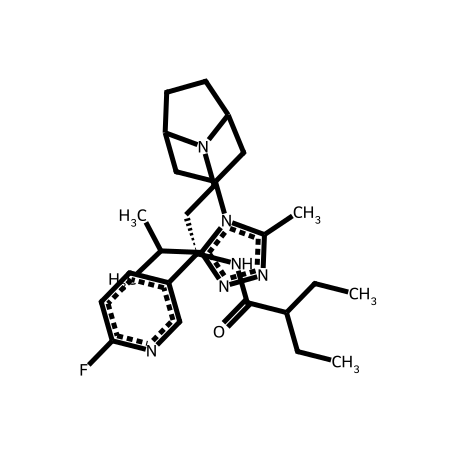 CCC(CC)C(=O)N[C@@H](CCN1C2CCC1CC(n1c(C)nnc1C(C)C)C2)c1ccc(F)nc1